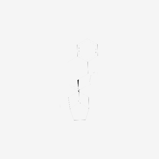 Cc1ccccc1CC[C@H]1C[C@H]2CC[C@@H](C1)N2C(=O)OC(C)(C)C